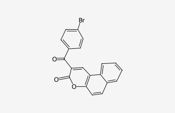 O=C(c1ccc(Br)cc1)c1cc2c(ccc3ccccc32)oc1=O